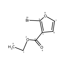 CCOC(=O)c1ccoc1Br